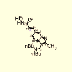 CCCCN(CCCC)Cc1c(C)nc2cc(/C=C/C(=O)NO)ccn12